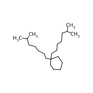 CC(C)CCCCCC1(CCCCCC(C)C)CCCCC1